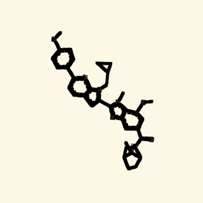 COc1ccc(-c2ccc3cc(-c4nc5cc(C(=O)N6CC7CCC6[C@@H]7C)cc(OC)c5n4C)n(CC4CC4)c3n2)cc1